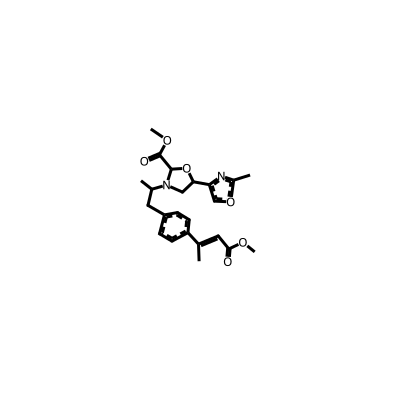 COC(=O)C=C(C)c1ccc(CC(C)N2CC(c3coc(C)n3)OC2C(=O)OC)cc1